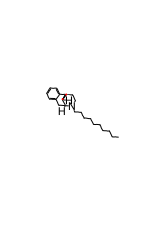 CCCCCCCCCCN1CC[C@]23CCCC[C@H]2[C@H]1Cc1ccccc13